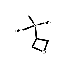 CCC[Si](C)(CCC)C1COC1